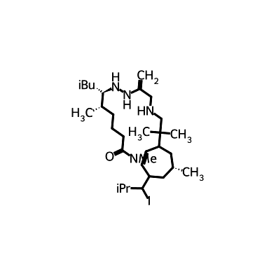 C=C(CNCC(C)(C)C1C=CC(C(I)C(C)C)C[C@@H](C)C1)NN[C@H]([C@@H](C)CC)[C@@H](C)CCCC(=O)NC